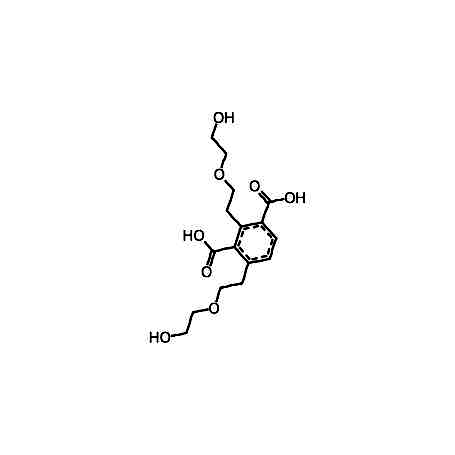 O=C(O)c1ccc(CCOCCO)c(C(=O)O)c1CCOCCO